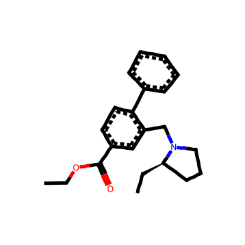 CCOC(=O)c1ccc(-c2ccccc2)c(CN2CCC[C@H]2CC)c1